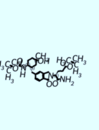 CC(C)(C)OC(=O)CC[C@@H](C(N)=O)N1Cc2cc(C[C@H]3C[C@](C)(O)CC[C@@H]3NC(=O)OC(C)(C)C)ccc2C1=O